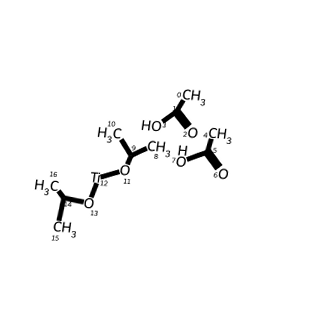 CC(=O)O.CC(=O)O.CC(C)[O][Ti][O]C(C)C